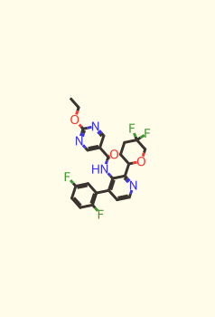 CCOc1ncc(C(=O)Nc2c(-c3cc(F)ccc3F)ccnc2C2CCC(F)(F)CO2)cn1